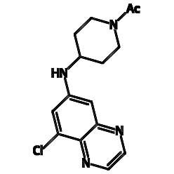 CC(=O)N1CCC(Nc2cc(Cl)c3nccnc3c2)CC1